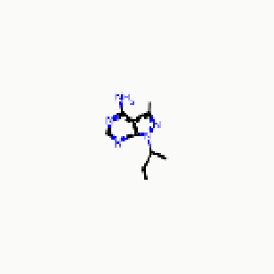 CCC(C)n1nc(C)c2c(N)ncnc21